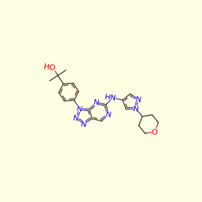 CC(C)(O)c1ccc(-n2nnc3cnc(Nc4cnn(C5CCOCC5)c4)nc32)cc1